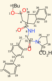 CC(C)(C)OC(=O)CC1(C(=O)N[C@@H](Cc2ccc(-c3ccccc3)cc2)C(=O)N2CCCC2C(=O)O)Cc2ccccc2C1